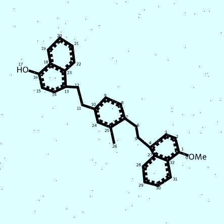 COc1ccc(CCc2ccc(CCc3ccc(O)c4ccccc34)cc2C)c2ccccc12